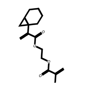 C=C(C)C(=O)OCCOC(=O)C(=C)C12CCCCC1C2